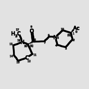 CC(=O)[C@@H]1CCCN(CCC(=O)[C@@H]2CCCCCN2C)C1